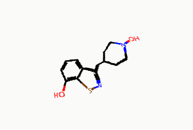 Oc1cccc2c(C3CCN(O)CC3)nsc12